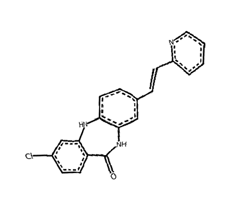 O=C1Nc2cc(/C=C/c3ccccn3)ccc2Nc2cc(Cl)ccc21